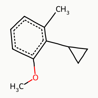 COc1cccc(C)c1C1CC1